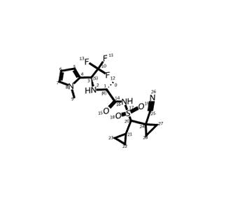 C[C@@H](N[C@@H](c1cccn1C)C(F)(F)F)C(=O)NS(=O)(=O)C(C1CC1)C1(C#N)CC1